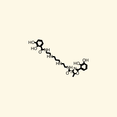 CC1OC(c2cccc(O)c2O)=N[C@@H]1C(=O)NCCNCCCNCCNC(=O)c1cccc(O)c1O